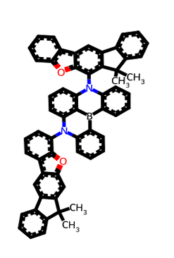 CC1(C)c2ccccc2-c2cc3c(cc21)oc1c(N2c4ccccc4B4c5ccccc5N(c5c6c(cc7c5oc5ccccc57)-c5ccccc5C6(C)C)c5cccc2c54)cccc13